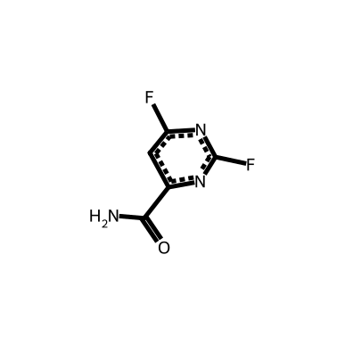 NC(=O)c1cc(F)nc(F)n1